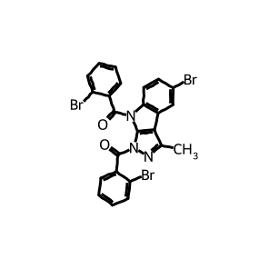 Cc1nn(C(=O)c2ccccc2Br)c2c1c1cc(Br)ccc1n2C(=O)c1ccccc1Br